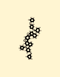 c1ccc(Sc2ccc(N(c3ccccc3)c3cc4oc5cc6oc7cc(N(c8ccccc8)c8ccc(Sc9ccccc9)cc8)c8ccccc8c7c6cc5c4c4ccccc34)cc2)cc1